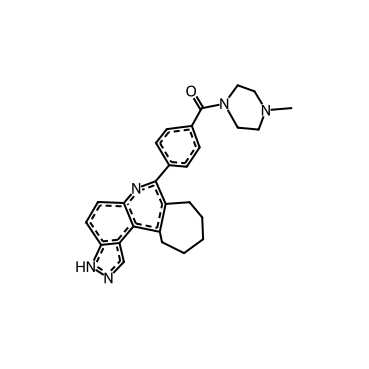 CN1CCN(C(=O)c2ccc(-c3nc4ccc5[nH]ncc5c4c4c3CCCCC4)cc2)CC1